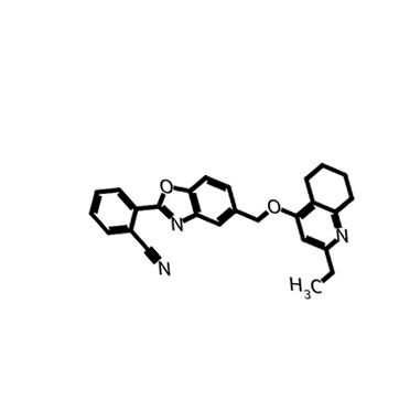 CCc1cc(OCc2ccc3oc(-c4ccccc4C#N)nc3c2)c2c(n1)CCCC2